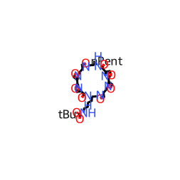 CCCCCC1NC(=O)c2coc(n2)-c2coc(n2)-c2coc(n2)C(CCCCNC(=O)OC(C)(C)C)NC(=O)c2coc(n2)-c2coc(n2)-c2coc1n2